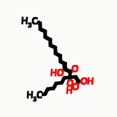 CCCCCCCCCCC/C=C(\O)C(=O)C(O)(CCCCCCC)CC(=O)O